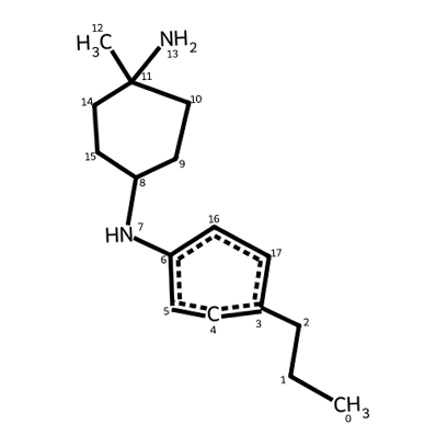 CCCc1ccc(NC2CCC(C)(N)CC2)cc1